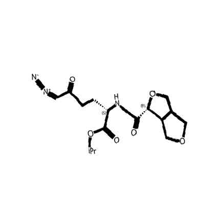 CC(C)OC(=O)[C@H](CCC(=O)C=[N+]=[N-])NC(=O)[C@@H]1OCC2COCC21